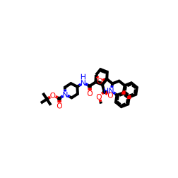 COC(=O)C1=C(C(=O)NC2CCN(C(=O)OC(C)(C)C)CC2)C2C=CC1(C(Cc1ccccc1)Nc1ccccc1)O2